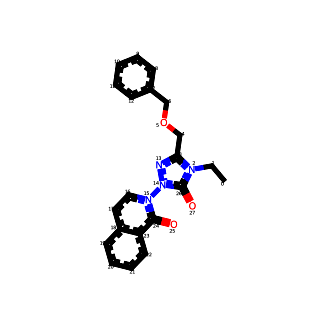 CCn1c(COCc2ccccc2)nn(-n2ccc3ccccc3c2=O)c1=O